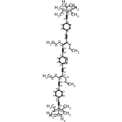 CCC/C(C#Cc1ccc(C#C[Si](C(C)C)(C(C)C)C(C)C)cc1)=C(\C#Cc1ccc(C#C/C(CCC)=C(/C#Cc2ccc(C#C[Si](C(C)C)(C(C)C)C(C)C)cc2)CCC)nn1)CCC